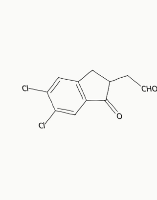 O=CCC1Cc2cc(Cl)c(Cl)cc2C1=O